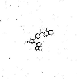 CCn1cc(-c2ccnc3[nH]ccc23)c(C2=CCC(NC(=O)NC3=C(F)CCC=C3)C=C2)n1